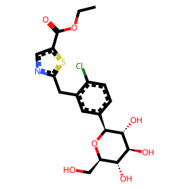 CCOC(=O)c1cnc(Cc2cc([C@@H]3O[C@H](CO)[C@@H](O)[C@H](O)[C@H]3O)ccc2Cl)s1